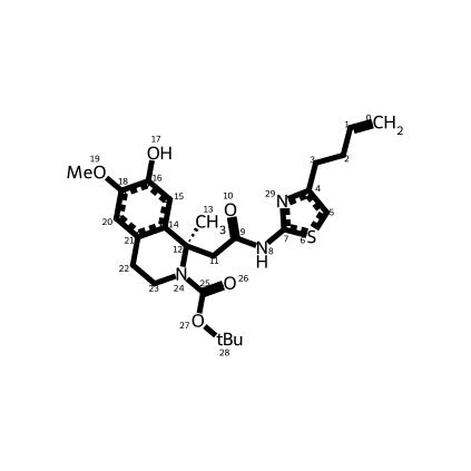 C=CCCc1csc(NC(=O)C[C@]2(C)c3cc(O)c(OC)cc3CCN2C(=O)OC(C)(C)C)n1